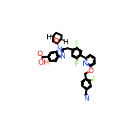 N#Cc1ccc(COc2cccc(-c3cc(F)c(Cc4nc5ccc(C(=O)O)cc5n4[C@@H]4C[C@@H]5CC[C@H]4O5)cc3F)n2)c(F)c1